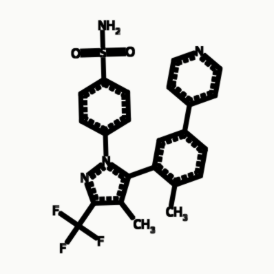 Cc1ccc(-c2ccncc2)cc1-c1c(C)c(C(F)(F)F)nn1-c1ccc(S(N)(=O)=O)cc1